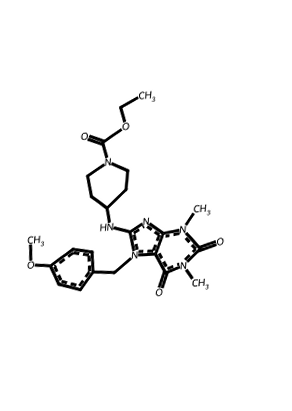 CCOC(=O)N1CCC(Nc2nc3c(c(=O)n(C)c(=O)n3C)n2Cc2ccc(OC)cc2)CC1